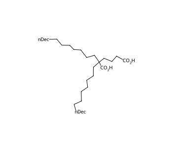 CCCCCCCCCCCCCCCCCC(CCCCCCCCCCCCCCCCC)(CCCC(=O)O)C(=O)O